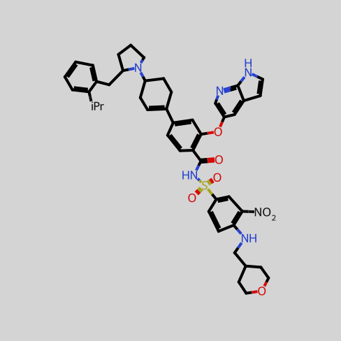 CC(C)c1ccccc1CC1CCCN1C1CC=C(c2ccc(C(=O)NS(=O)(=O)c3ccc(NCC4CCOCC4)c([N+](=O)[O-])c3)c(Oc3cnc4[nH]ccc4c3)c2)CC1